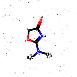 CN(C)C1=NC(=O)CO1